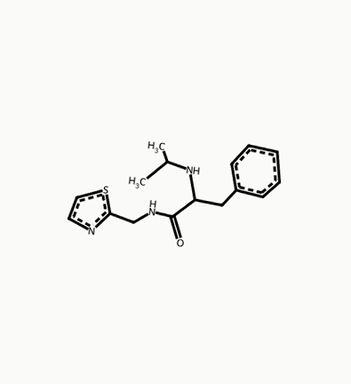 CC(C)NC(Cc1ccccc1)C(=O)NCc1nccs1